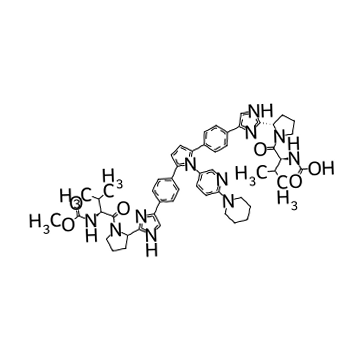 COC(=O)N[C@H](C(=O)N1CCCC1c1nc(-c2ccc(-c3ccc(-c4ccc(-c5c[nH]c([C@@H]6CCCN6C(=O)[C@@H](NC(=O)O)C(C)C)n5)cc4)n3-c3ccc(N4CCCCC4)nc3)cc2)c[nH]1)C(C)C